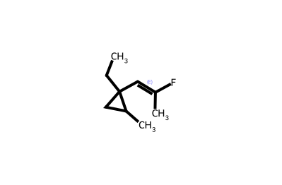 CCC1(/C=C(\C)F)CC1C